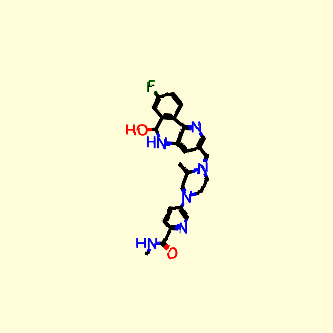 CNC(=O)c1ccc(N2CCN(Cc3cnc4c(c3)NC(O)c3cc(F)ccc3-4)C(C)C2)cn1